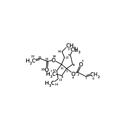 C=CC(=O)OC(CC)(CCC)C(CCC)(CCC)OC(=O)C=C